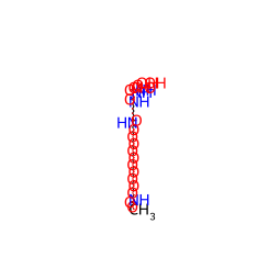 COCC(=O)NCCOCCOCCOCCOCCOCCOCCOCCOCCOCCOCCNC(=O)CCCCCCCNC(=O)CC[C@H](NC(=O)N[C@@H](CCC(=O)O)C(=O)O)C(=O)O